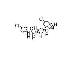 O=C(Nc1ccc(Cl)cc1)N[C@@H]1[C@@H]2C[C@@](O)(c3cc(Cl)cc4[nH]ncc34)C[C@@H]21